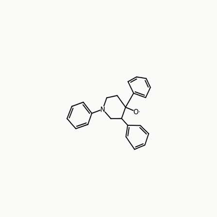 [O]C1(c2ccccc2)CCN(c2ccccc2)CC1c1ccccc1